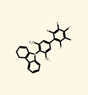 Fc1c(F)c(F)c(-c2cc(C(F)(F)F)c(-n3c4c(c5ccccc53)CCC=C4)c(C(F)(F)F)c2)c(F)c1F